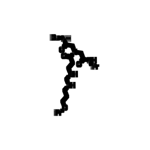 CCC(C)NC(=O)CN(CC(=O)NC(C)C)C(=O)CCNCBCCCOC(C)C